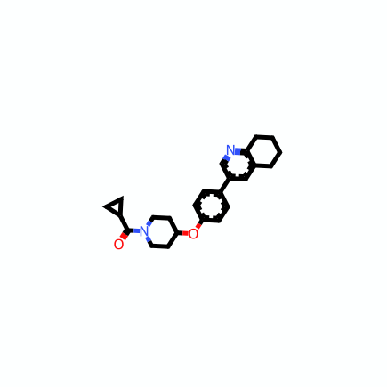 O=C(C1CC1)N1CCC(Oc2ccc(-c3cnc4c(c3)CCCC4)cc2)CC1